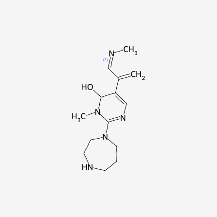 C=C(/C=N\C)C1=CN=C(N2CCCNCC2)N(C)C1O